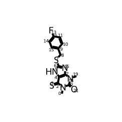 Cn1c(=S)c2[nH]c(SCc3ccc(F)cc3)nc2n(C)c1=O